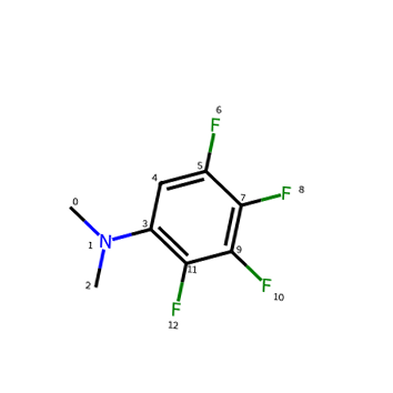 CN(C)c1cc(F)c(F)c(F)c1F